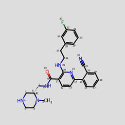 CN1CCNC[C@@H]1CNC(=O)c1ccc(-c2ccccc2C#N)nc1NCCc1cccc(F)c1